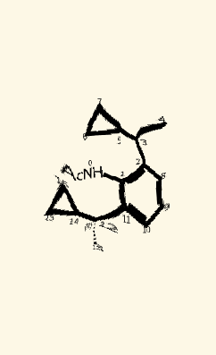 CC(=O)Nc1c(C(C)C2CC2)cccc1[C@H](C)C1CC1